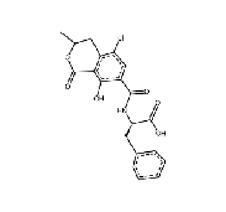 CC1Cc2c(Cl)cc(C(=O)N[C@H](Cc3ccccc3)C(=O)O)c(O)c2C(=O)O1